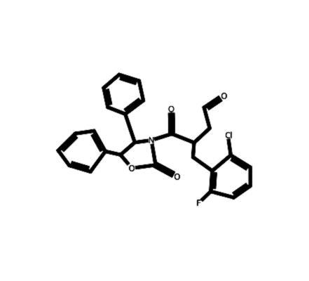 O=CCC(Cc1c(F)cccc1Cl)C(=O)N1C(=O)OC(c2ccccc2)C1c1ccccc1